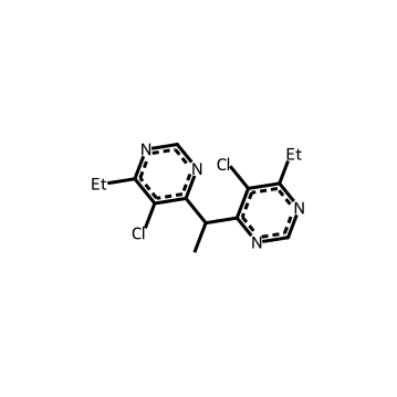 CCc1ncnc(C(C)c2ncnc(CC)c2Cl)c1Cl